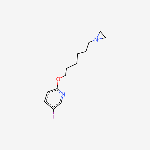 Ic1ccc(OCCCCCCN2CC2)nc1